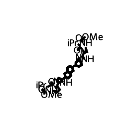 COC(=O)NC(C(=O)N1CCCC1c1ncc(-c2ccc3cc(-c4ccc5[nH]c(C6CCN6C(=O)C(NC(=O)OC)C(C)C)nc5c4)ccc3c2)[nH]1)C(C)C